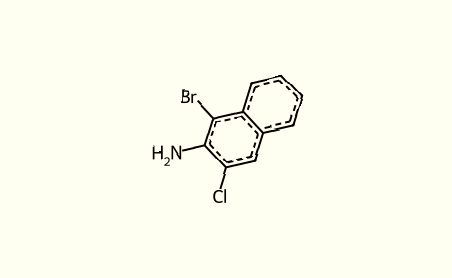 Nc1c(Cl)cc2ccccc2c1Br